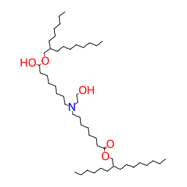 CCCCCCCCC(CCCCCC)COC(=O)CCCCCCCN(CCO)CCCCCCCC(O)OCC(CCCCCC)CCCCCCCC